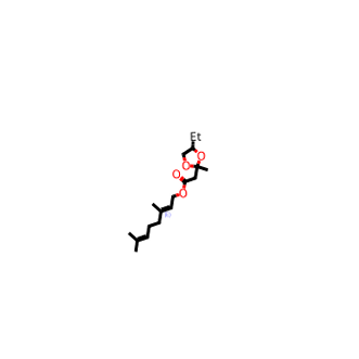 CCC1COC(C)(CC(=O)OC/C=C(\C)CCC=C(C)C)O1